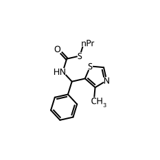 CCCSC(=O)NC(c1ccccc1)c1scnc1C